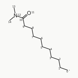 [CH2]CCCCCCCCCC(=O)N(C)C